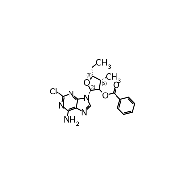 CC[C@H]1O[C@@H](n2cnc3c(N)nc(Cl)nc32)C(OC(=O)c2ccccc2)[C@H]1C